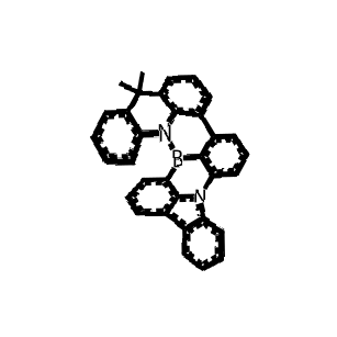 CC1(C)c2ccccc2N2B3c4c(cccc4-n4c5ccccc5c5cccc3c54)-c3cccc1c32